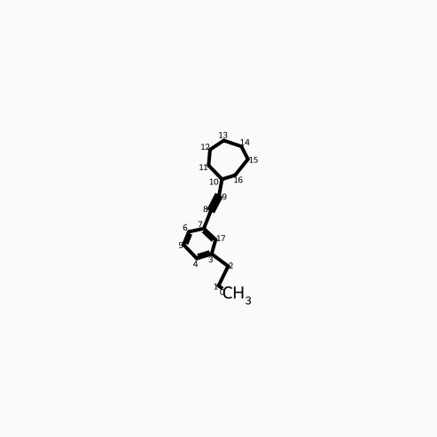 CCCc1cccc(C#CC2CCCCCC2)c1